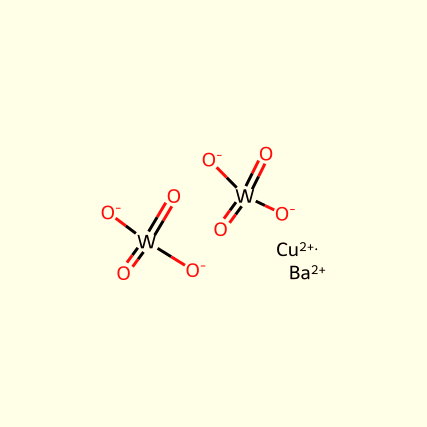 [Ba+2].[Cu+2].[O]=[W](=[O])([O-])[O-].[O]=[W](=[O])([O-])[O-]